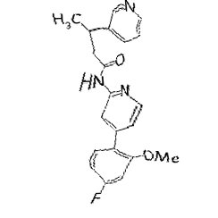 COc1cc(F)ccc1-c1ccnc(NC(=O)CC(C)c2cccnc2)c1